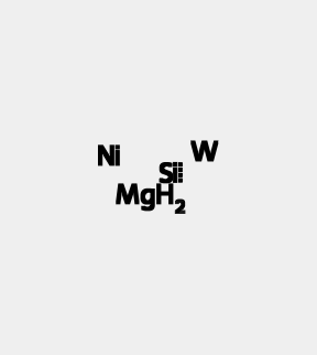 [MgH2].[Ni].[Si].[W]